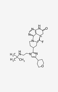 CC(C)(C)NCCn1cc(C2CCOCC2)nc1C1CCN(c2ncnc3c2[C@H](C(F)F)CC(=O)N3)CC1